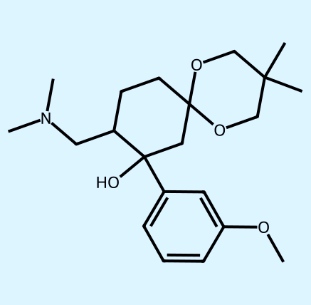 COc1cccc(C2(O)CC3(CCC2CN(C)C)OCC(C)(C)CO3)c1